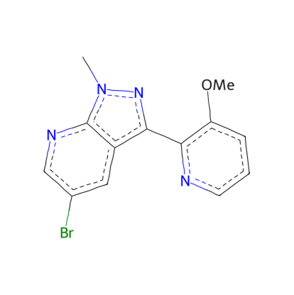 COc1cccnc1-c1nn(C)c2ncc(Br)cc12